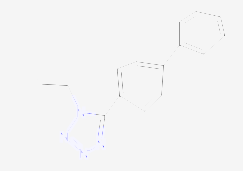 CCn1nnnc1-c1ccc(-c2ccccc2)cc1